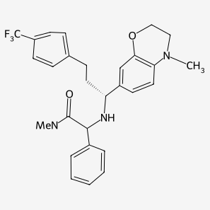 CNC(=O)C(N[C@H](CCc1ccc(C(F)(F)F)cc1)c1ccc2c(c1)OCCN2C)c1ccccc1